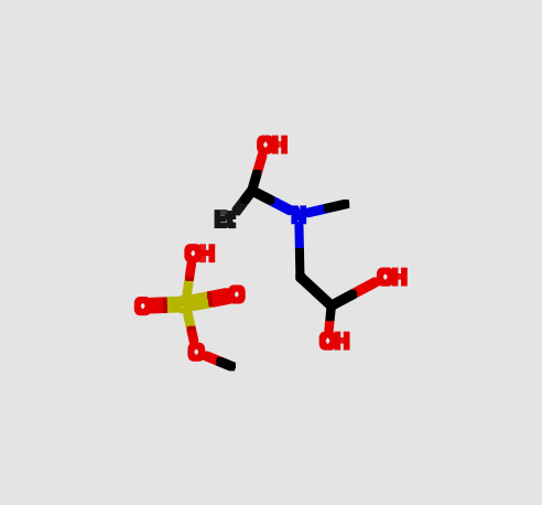 CCC(O)N(C)CC(O)O.COS(=O)(=O)O